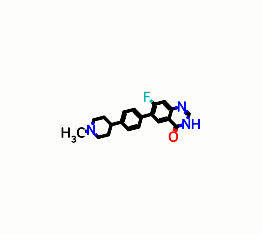 CN1CCC(c2ccc(-c3cc4c(=O)[nH]cnc4cc3F)cc2)CC1